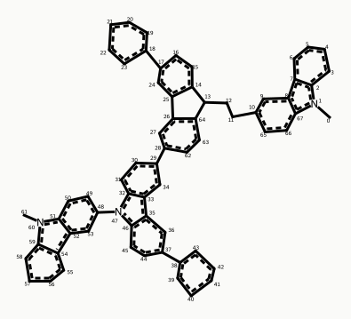 Cn1c2ccccc2c2cc(CCC3c4ccc(-c5ccccc5)cc4-c4cc(-c5ccc6c(c5)c5cc(-c7ccccc7)ccc5n6-c5ccc6c(c5)c5ccccc5n6C)ccc43)ccc21